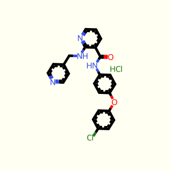 Cl.O=C(Nc1ccc(Oc2ccc(Cl)cc2)cc1)c1cccnc1NCc1ccncc1